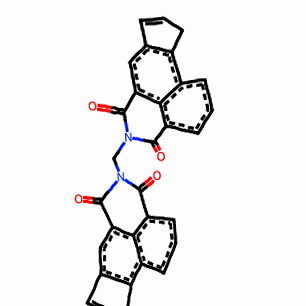 O=C1c2cccc3c4c(cc(c23)C(=O)N1CN1C(=O)c2cccc3c5c(cc(c23)C1=O)C=CC5)C=CC4